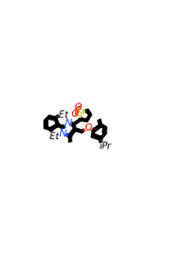 CCc1cccc(CC)c1-c1nc(C)c(COc2cc(C(C)C)ccc2C)c(C2CCCS2(=O)=O)n1